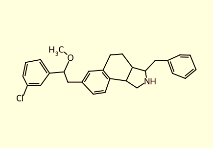 COC(Cc1ccc2c(c1)CCC1C(Cc3ccccc3)NCC21)c1cccc(Cl)c1